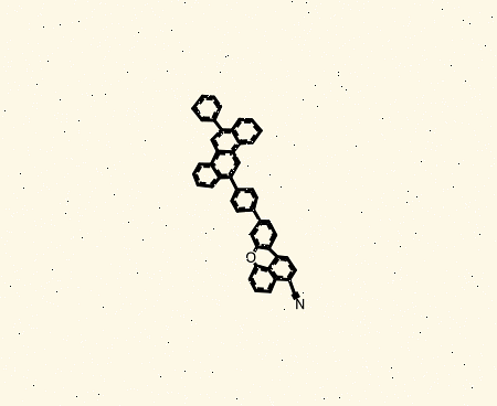 N#Cc1ccc2c3c(cccc13)Oc1cc(-c3ccc(-c4cc5c6ccccc6c(-c6ccccc6)cc5c5ccccc45)cc3)ccc1-2